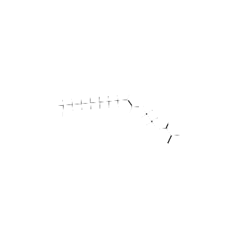 C=C(C)C(=O)OC(F)(F)C(F)(F)OC(F)=C(F)C(F)(F)C(F)(F)C(F)(F)C(F)(F)C(F)(F)C(F)(F)C(F)(F)F